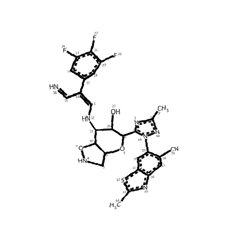 Cc1nc(C2OC3CNOC3C(N/C=C(\C=N)c3cc(F)c(F)c(F)c3)C2O)n(-c2cc3sc(C)nc3cc2C#N)n1